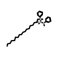 CCCCCCCCCCCCCCCCCC[N+](C)(c1ccccc1)[GeH]([F])[N](C)c1ccccc1